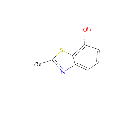 CCCCc1nc2cccc(O)c2s1